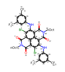 CCCCCCCCN1C(=O)c2c(Br)c(Nc3cc(C(F)(F)F)cc(C(F)(F)F)c3)c3c4c(c(Nc5cc(C(F)(F)F)cc(C(F)(F)F)c5)c(Br)c(c24)C1=O)C(=O)N(CCCCCCCC)C3=O